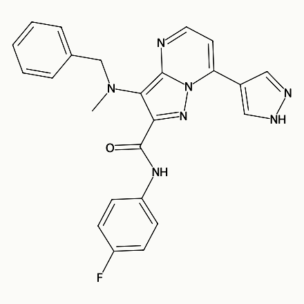 CN(Cc1ccccc1)c1c(C(=O)Nc2ccc(F)cc2)nn2c(-c3cn[nH]c3)ccnc12